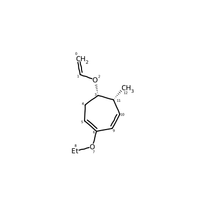 C=CO[C@H]1CC=C(OCC)C=C[C@H]1C